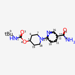 CC(C)(C)NC(=O)OC1CCN(c2ccc(C(N)=O)cn2)CC1